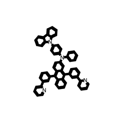 c1ccc(N(c2ccc(-n3c4ccccc4c4ccccc43)cc2)c2ccc3c(-c4cccc(-c5ccccn5)c4)c4ccccc4c(-c4cccc(-c5ccccn5)c4)c3c2)cc1